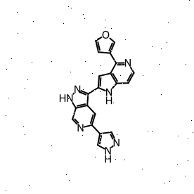 c1cc2[nH]c(-c3n[nH]c4cnc(-c5cn[nH]c5)cc34)cc2c(-c2ccoc2)n1